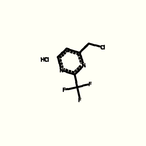 Cl.FC(F)(F)c1nccc(CCl)n1